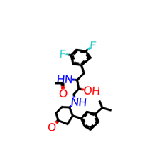 CC(=O)NC(Cc1cc(F)cc(F)c1)C(O)CNC1CCC(=O)CC1c1cccc(C(C)C)c1